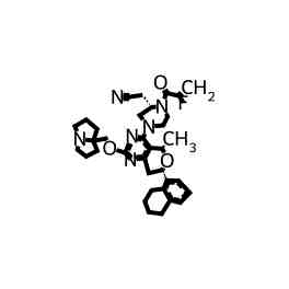 C=C(F)C(=O)N1CCN(c2nc(OCC34CCCN3CCC4)nc3c2[C@H](C)O[C@H](c2cccc4c2CCCC4)C3)C[C@@H]1CC#N